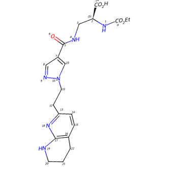 CCOC(=O)N[C@@H](CNC(=O)c1cnn(CCc2ccc3c(n2)NCCC3)c1)C(=O)O